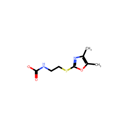 Cc1nc(SCCNC([O])=O)oc1C